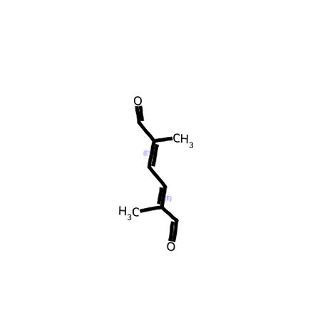 C/C(C=O)=C\C=C(/C)C=O